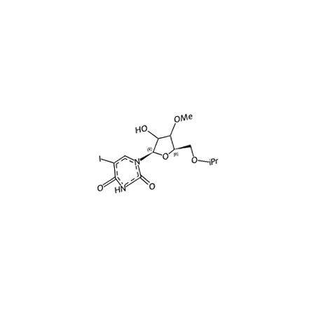 COC1C(O)[C@H](n2cc(I)c(=O)[nH]c2=O)O[C@@H]1COC(C)C